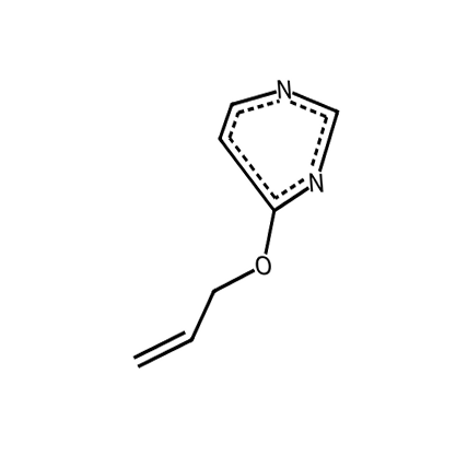 C=CCOc1ccncn1